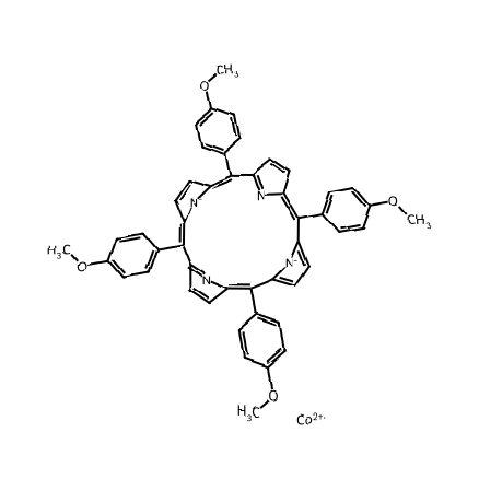 COc1ccc(-c2c3nc(c(-c4ccc(OC)cc4)c4ccc([n-]4)c(-c4ccc(OC)cc4)c4nc(c(-c5ccc(OC)cc5)c5ccc2[n-]5)C=C4)C=C3)cc1.[Co+2]